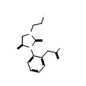 Cl.NCCN1CC(=O)N(c2ccccc2CC(=O)O)C1=O